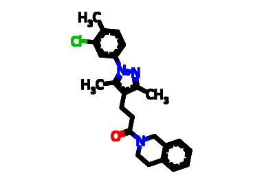 Cc1ccc(-n2nc(C)c(CCC(=O)N3CCc4ccccc4C3)c2C)cc1Cl